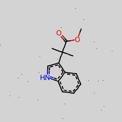 COC(=O)C(C)(C)c1c[nH]c2ccccc12